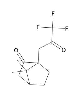 CC1(C)C2CCC1(CC(=O)C(F)(F)F)C(=O)C2